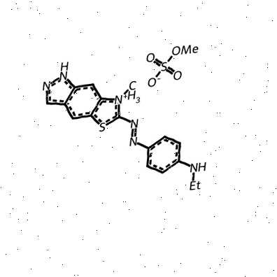 CCNc1ccc(/N=N/c2sc3cc4cn[nH]c4cc3[n+]2C)cc1.COS(=O)(=O)[O-]